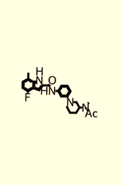 CC(=O)N(C)C1CCCN(c2cccc(NC(=O)c3cc4c(F)ccc(C)c4[nH]3)c2)C1